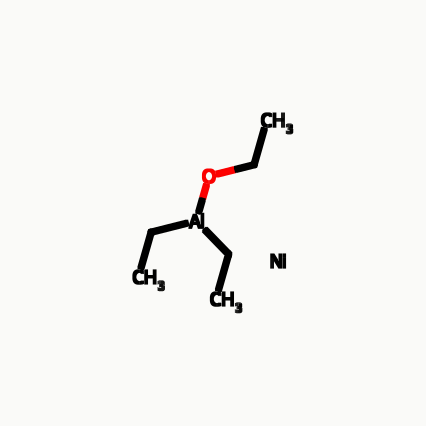 CC[O][Al]([CH2]C)[CH2]C.[Ni]